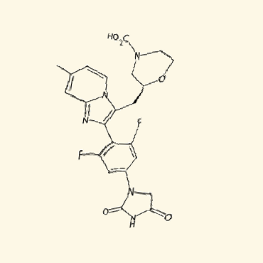 Cc1ccn2c(C[C@H]3CN(C(=O)O)CCO3)c(-c3c(F)cc(N4CC(=O)NC4=O)cc3F)nc2c1